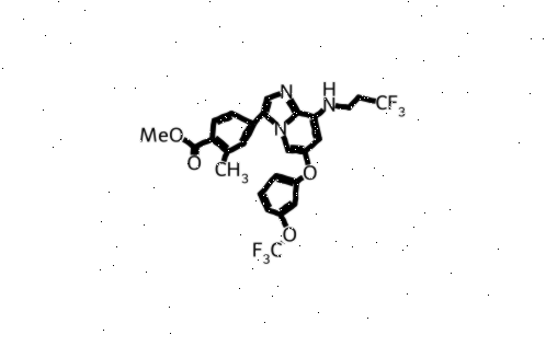 COC(=O)c1ccc(-c2cnc3c(NCCC(F)(F)F)cc(Oc4cccc(OC(F)(F)F)c4)cn23)cc1C